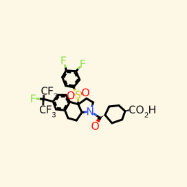 O=C(O)[C@H]1CC[C@H](C(=O)N2CCC3(S(=O)(=O)c4ccc(F)c(F)c4)c4ccc(C(F)(C(F)(F)F)C(F)(F)F)cc4CCC23)CC1